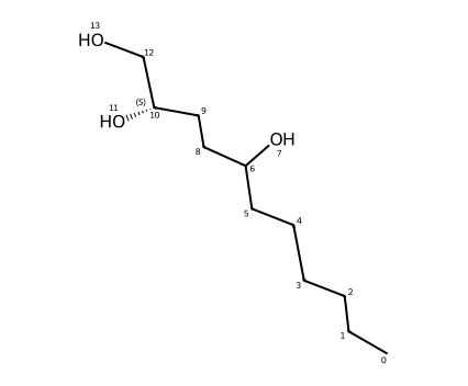 CCCCCCC(O)CC[C@H](O)CO